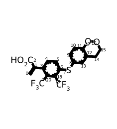 C=C(C(=O)O)c1ccc(Sc2ccc3c(c2)CCOO3)c(C(F)(F)F)c1C(F)(F)F